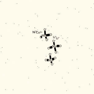 [Co+2].[Li+].[Li+].[Ni+2].[O]=[Mn](=[O])([O-])[O-].[O]=[Mn](=[O])([O-])[O-].[O]=[Mn](=[O])([O-])[O-]